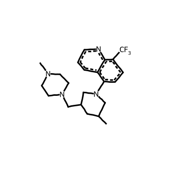 CC1CC(CN2CCN(C)CC2)CN(c2ccc(C(F)(F)F)c3ncccc23)C1